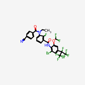 CCN(C(=O)c1ccc(C#N)cc1)c1cccc(C(=O)Nc2c(Br)cc(C(F)(C(F)(F)F)C(F)(F)Br)cc2OC(F)F)c1F